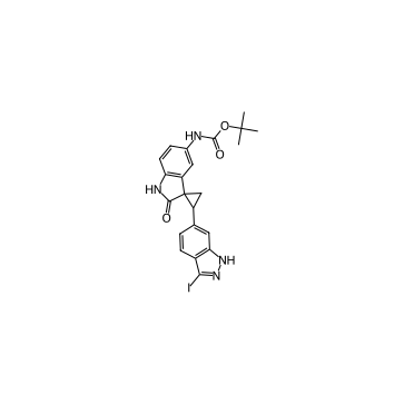 CC(C)(C)OC(=O)Nc1ccc2c(c1)C1(CC1c1ccc3c(I)n[nH]c3c1)C(=O)N2